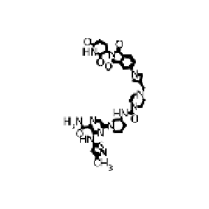 Cc1cc(Nc2nc(N3CCCC(NC(=O)N4CCN(CC5CN(c6ccc7c(c6)C(=O)N(C6CCC(=O)NC6=O)C7=O)C5)CC4)C3)cnc2C(N)=O)sn1